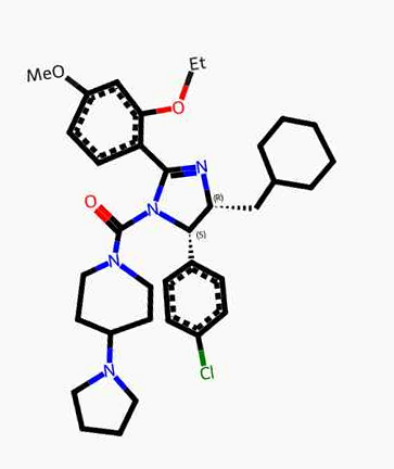 CCOc1cc(OC)ccc1C1=N[C@H](CC2CCCCC2)[C@H](c2ccc(Cl)cc2)N1C(=O)N1CCC(N2CCCC2)CC1